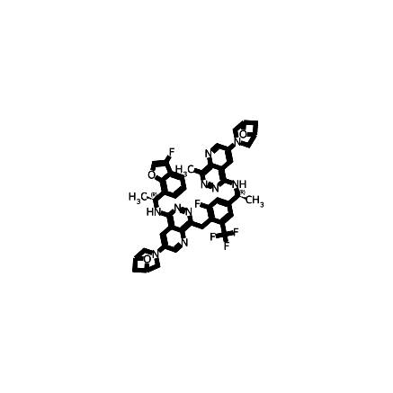 Cc1nnc(N[C@H](C)c2cc(F)c(Cc3nnc(N[C@H](C)c4cccc5c(F)coc45)c4cc(N5CC6CC(C5)O6)cnc34)c(C(F)(F)F)c2)c2cc(N3CC4CC(C3)O4)cnc12